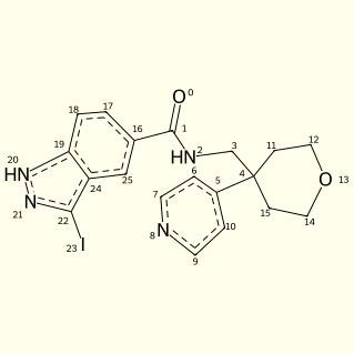 O=C(NCC1(c2ccncc2)CCOCC1)c1ccc2[nH]nc(I)c2c1